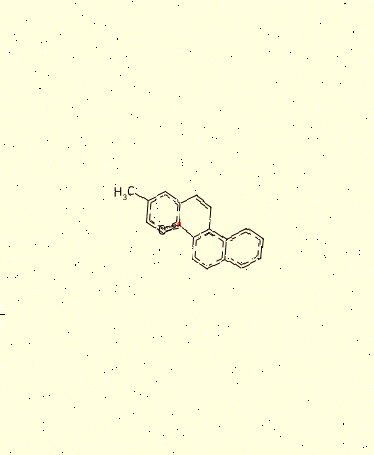 Cc1cccc(/C=C\c2c(C=O)ccc3ccccc23)c1